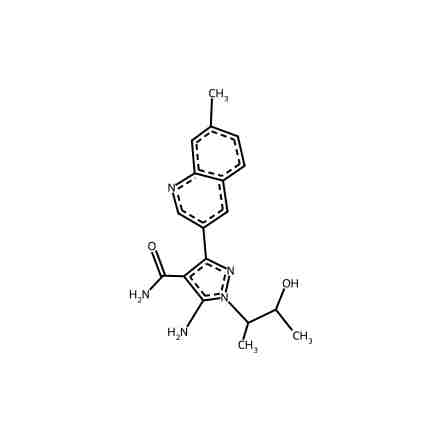 Cc1ccc2cc(-c3nn(C(C)C(C)O)c(N)c3C(N)=O)cnc2c1